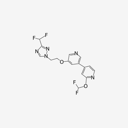 FC(F)Oc1cc(-c2cncc(OCCn3cnc(C(F)F)n3)c2)ccn1